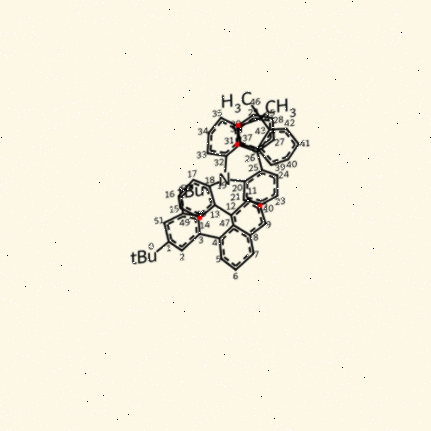 CC(C)(C)c1cc(-c2cccc3cccc(-c4ccccc4N(c4ccccc4-c4ccccc4)c4cccc5c4-c4ccccc4C5(C)C)c23)cc(C(C)(C)C)c1